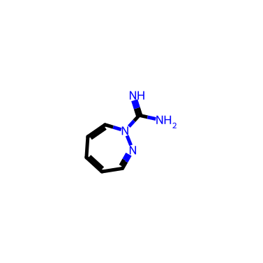 N=C(N)N1C=CC=CC=N1